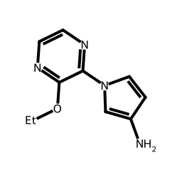 CCOc1nccnc1-n1ccc(N)c1